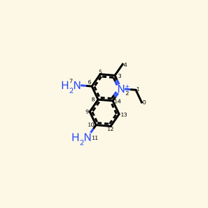 CC[n+]1c(C)cc(N)c2cc(N)ccc21